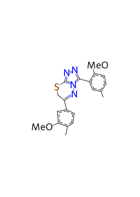 COc1cc(C2=Nn3c(nnc3-c3cc(C)ccc3OC)SC2)ccc1C